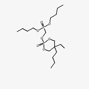 CCCCOP(=O)(COP1(=O)OCC(CC)(CCCC)CO1)OCCCC